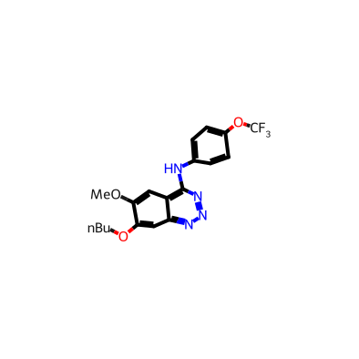 CCCCOc1cc2nnnc(Nc3ccc(OC(F)(F)F)cc3)c2cc1OC